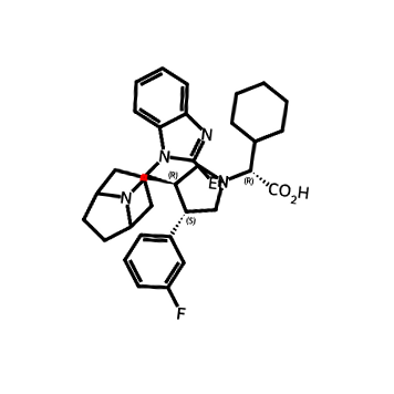 CCc1nc2ccccc2n1C1CC2CCC(C1)N2C[C@H]1CN([C@@H](C(=O)O)C2CCCCC2)C[C@@H]1c1cccc(F)c1